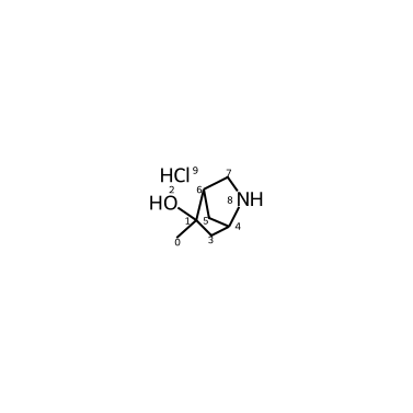 CC1(O)CC2CC1CN2.Cl